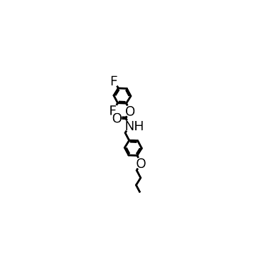 CCCCOc1ccc(CNC(=O)Oc2ccc(F)cc2F)cc1